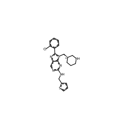 Clc1ccccc1-c1nc2cnc(NCc3cccs3)nc2n1C[C@@H]1CCCNC1